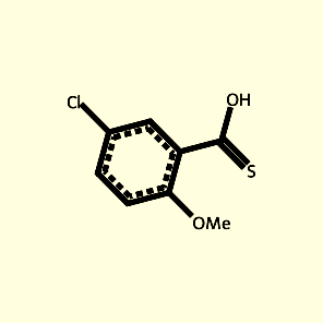 COc1ccc(Cl)cc1C(O)=S